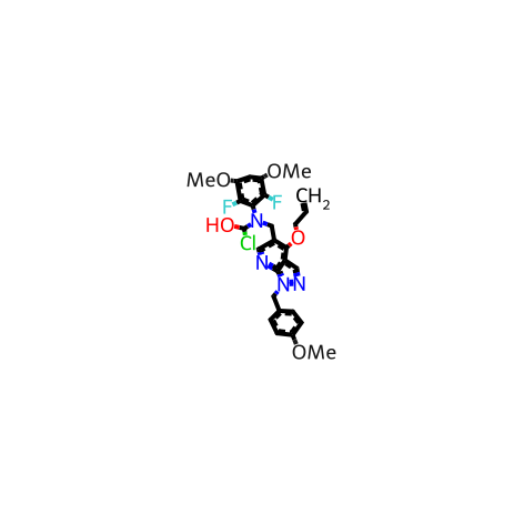 C=CCOc1c(CN(c2c(F)c(OC)cc(OC)c2F)C(O)Cl)cnc2c1cnn2Cc1ccc(OC)cc1